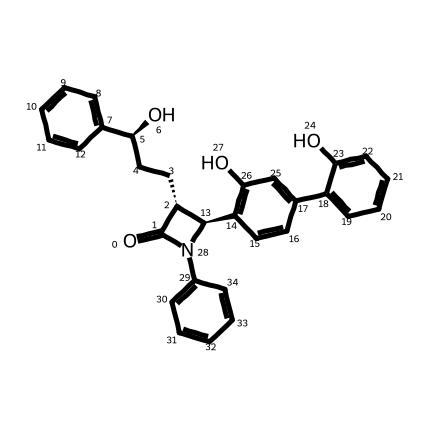 O=C1[C@H](CC[C@H](O)c2ccccc2)[C@@H](c2ccc(-c3ccccc3O)cc2O)N1c1ccccc1